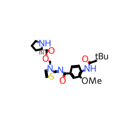 COc1cc(C(=O)N=c2sccn2COC(=O)[C@@H]2CCCN2)ccc1NC(=O)CC(C)(C)C